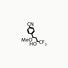 COC(CC(O)C(F)(F)F)c1ccc(C#N)cc1